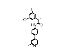 Cc1cc(-c2ccc(NC(=O)[C@@H](C)c3cc(F)cc(Cl)c3)cc2)ccn1